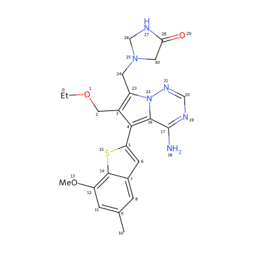 CCOCc1c(-c2cc3cc(C)cc(OC)c3s2)c2c(N)ncnn2c1CN1CNC(=O)C1